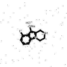 COc1c2n(c3cccc(F)c13)CCNC2.Cl